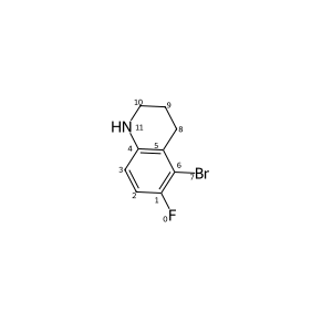 Fc1ccc2c(c1Br)CCCN2